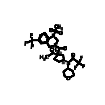 CC(C)[C@]1(C(=O)N2Cc3cc(C(F)(F)F)ccc3N(S(C)(=O)=O)C2)CC[C@@H](N(C(=O)C(F)(F)F)C2CCOCC2)C1